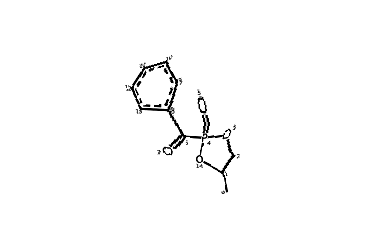 CC1COP(=O)(C(=O)c2ccccc2)O1